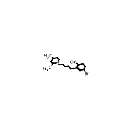 Cc1cc[n+](CCCCCc2cc(Br)ccc2Br)c(C)c1